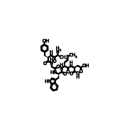 CSCC[C@H](NC(=O)[C@H](Cc1c[nH]c2ccccc12)NC(=O)CNC(=O)[C@H](Cc1ccc(O)cc1)NC(=O)[C@H](C)N)C(=O)N[C@@H](CC(=O)O)C(=O)O